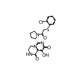 O=C1NCCn2c([C@@H]3CCCN3C(=O)CSc3ccccc3Cl)nc(=O)c(O)c21